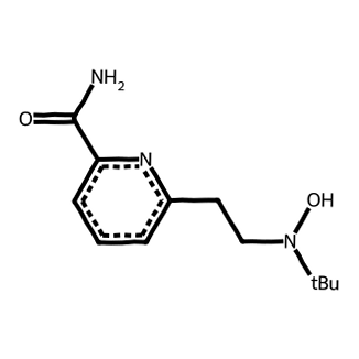 CC(C)(C)N(O)CCc1cccc(C(N)=O)n1